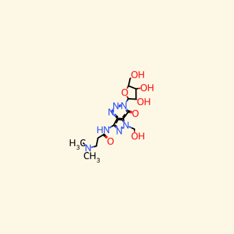 CN(C)CCC(=O)Nc1nn(CO)c2c(=O)n(C3OC(CO)C(O)C3O)nnc12